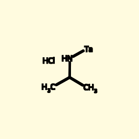 CC(C)[NH][Ta].Cl